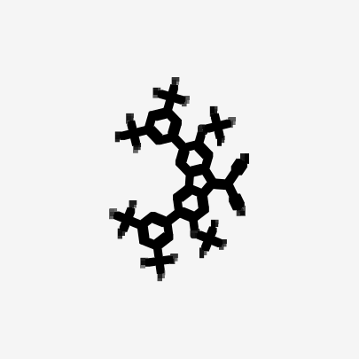 N#CC(C#N)=C1c2cc(OC(F)(F)F)c(-c3cc(C(F)(F)F)cc(C(F)(F)F)c3)cc2-c2cc(-c3cc(C(F)(F)F)cc(C(F)(F)F)c3)c(OC(F)(F)F)cc21